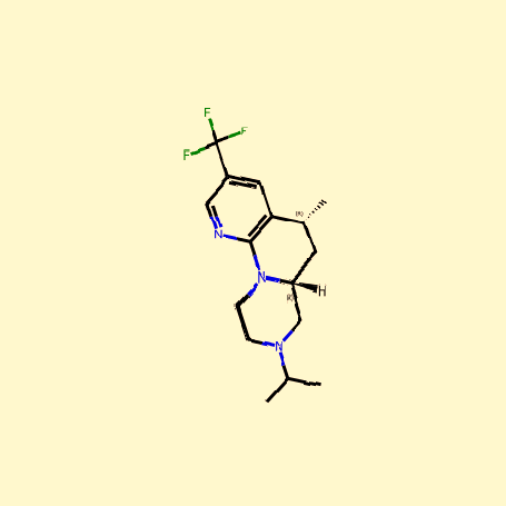 CC(C)N1CCN2c3ncc(C(F)(F)F)cc3[C@H](C)C[C@@H]2C1